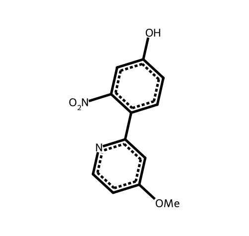 COc1ccnc(-c2ccc(O)cc2[N+](=O)[O-])c1